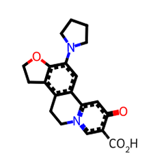 O=C(O)c1cn2c(cc1=O)-c1cc(N3CCCC3)c3c(c1CC2)CCO3